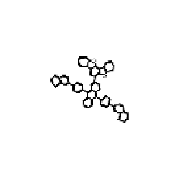 C1=CC2Oc3c(cc(-c4ccc5c(-c6ccc(-c7ccc8ccccc8c7)cc6)c6ccccc6c(-c6ccc(-c7ccc8ccccc8c7)cc6)c5c4)c4oc5c(c34)C=CCC5)C2C=C1